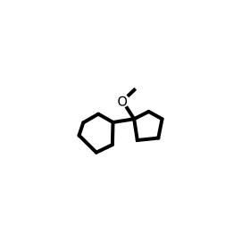 COC1(C2CCCCC2)CCCC1